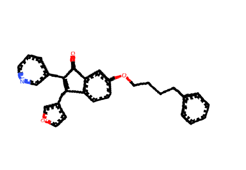 O=C1C(c2cccnc2)=C(c2ccoc2)c2ccc(OCCCCc3ccccc3)cc21